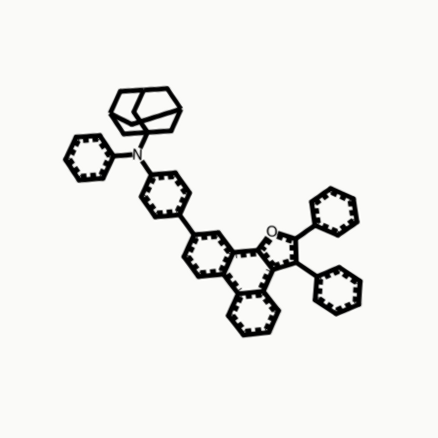 c1ccc(-c2oc3c4cc(-c5ccc(N(c6ccccc6)C67CC8CC(CC(C8)C6)C7)cc5)ccc4c4ccccc4c3c2-c2ccccc2)cc1